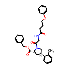 Cc1ccccc1[C@H]1C[C@@H](C(=O)OCc2ccccc2)N(C(=O)CNC(=O)CCCOc2ccccc2)C1